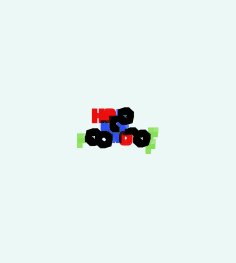 O=C(Cc1ccc(F)c(F)c1)Nc1nc2c(nc1C(O)c1ccccc1)-c1ccc(F)cc1CC2